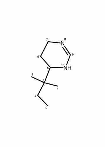 CCC(C)(C)C1CCN=CN1